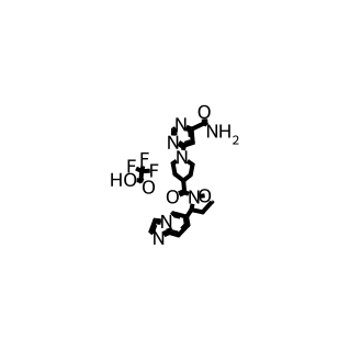 NC(=O)c1cc(N2CCC(C(=O)N3OCCC3c3ccc4nccn4c3)CC2)ncn1.O=C(O)C(F)(F)F